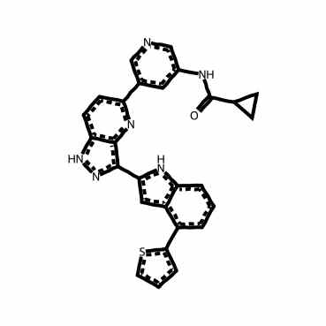 O=C(Nc1cncc(-c2ccc3[nH]nc(-c4cc5c(-c6cccs6)cccc5[nH]4)c3n2)c1)C1CC1